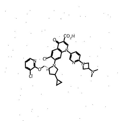 CN(C)C1CN(c2ccc(-n3cc(C(=O)O)c(=O)c4cc(Cl)c(N5CC(C6CC6)C[C@@H]5COc5ncccc5Cl)cc43)cn2)C1